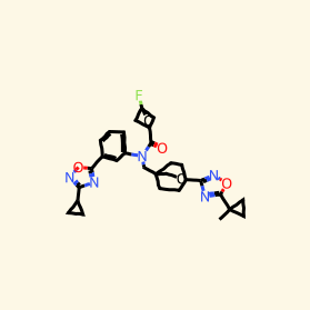 CC1(c2nc(C34CCC(CN(C(=O)C56CC(F)(C5)C6)c5cccc(-c6nc(C7CC7)no6)c5)(CC3)CC4)no2)CC1